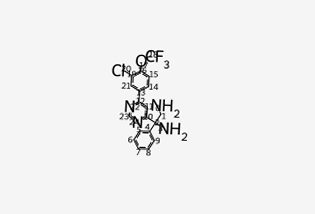 NCC(N)(c1ccccc1)c1cc(-c2ccc(OC(F)(F)F)c(Cl)c2)ncn1